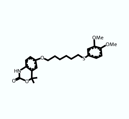 COc1ccc(SCCCCCCOc2ccc3c(c2)C(C)(C)OC(=O)N3)cc1OC